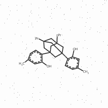 CCCC12CC3(c4ccc(C)cc4O)CC(c4ccc(C)cc4O)(C1)CC(C(C)C)(C2)C3